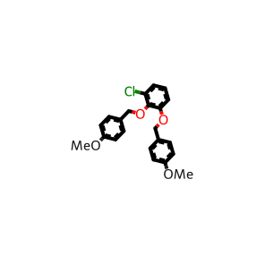 COc1ccc(COc2cccc(Cl)c2OCc2ccc(OC)cc2)cc1